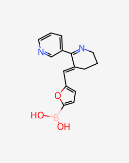 OB(O)c1ccc(/C=C2\CCCN=C2c2cccnc2)o1